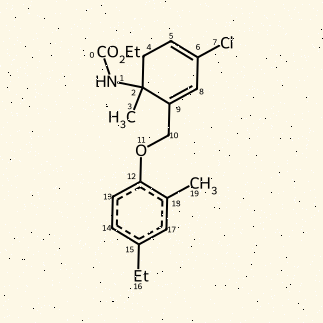 CCOC(=O)NC1(C)CC=C(Cl)C=C1COc1ccc(CC)cc1C